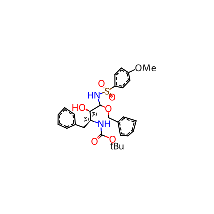 COc1ccc(S(=O)(=O)NC(OCc2ccccc2)[C@H](O)[C@H](Cc2ccccc2)NC(=O)OC(C)(C)C)cc1